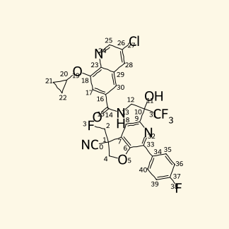 N#CC1(CF)COc2c1cc(C(O)(CNC(=O)c1cc(OC3CC3)c3ncc(Cl)cc3c1)C(F)(F)F)nc2-c1ccc(F)cc1